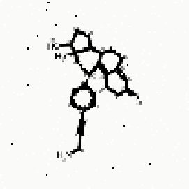 C[C@]12C[C@H](c3ccc(C#CCN)cc3)C3=C4CCC(=O)C=C4CCC3C1CCC2O